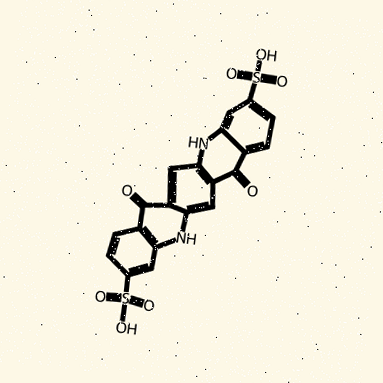 O=c1c2ccc(S(=O)(=O)O)cc2[nH]c2cc3c(=O)c4ccc(S(=O)(=O)O)cc4[nH]c3cc12